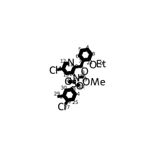 CCOc1ccccc1C(=O)c1ncc(Cl)cc1N(COC)S(=O)(=O)c1ccc(Cl)c(C)c1